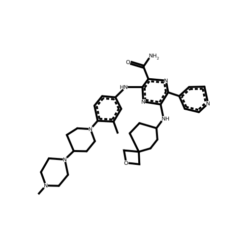 Cc1cc(Nc2nc(NC3CCC4(CC3)COC4)c(-c3ccncc3)nc2C(N)=O)ccc1N1CCC(N2CCN(C)CC2)CC1